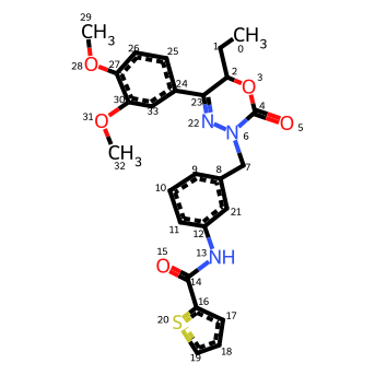 CCC1OC(=O)N(Cc2cccc(NC(=O)c3cccs3)c2)N=C1c1ccc(OC)c(OC)c1